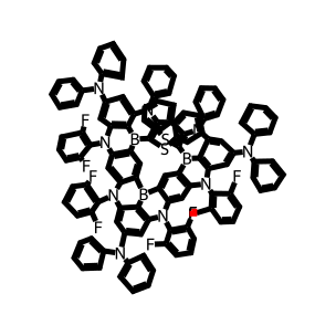 Fc1cccc(F)c1N1c2cc3c(cc2B2c4cc5c(cc4N(c4c(F)cccc4F)c4cc(N(c6ccccc6)c6ccccc6)cc1c42)N(c1c(F)cccc1F)c1cc(N(c2ccccc2)c2ccccc2)cc2c1B5c1sc4ccccc4c1N2c1ccccc1)B1c2sc4ccccc4c2N(c2ccccc2)c2cc(N(c4ccccc4)c4ccccc4)cc(c21)N3c1c(F)cccc1F